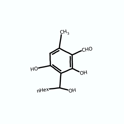 CCCCCCC(O)c1c(O)cc(C)c(C=O)c1O